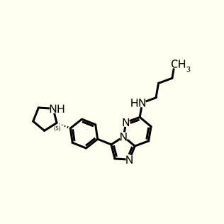 CCCCNc1ccc2ncc(-c3ccc([C@@H]4CCCN4)cc3)n2n1